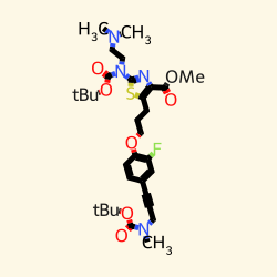 COC(=O)c1nc(N(CCN(C)C)C(=O)OC(C)(C)C)sc1CCCOc1ccc(C#CCN(C)C(=O)OC(C)(C)C)cc1F